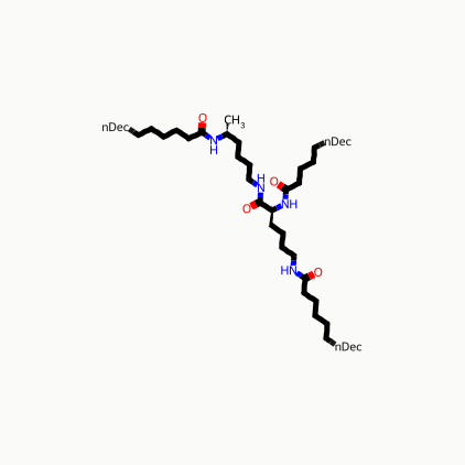 CCCCCCCCCCCCCCCC(=O)NCCCC[C@H](NC(=O)CCCCCCCCCCCCCC)C(=O)NCCCC[C@@H](C)NC(=O)CCCCCCCCCCCCCCC